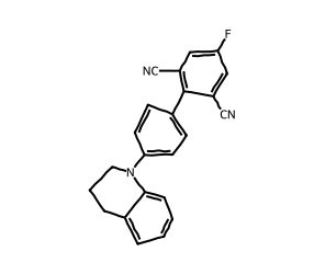 N#Cc1cc(F)cc(C#N)c1-c1ccc(N2CCCc3ccccc32)cc1